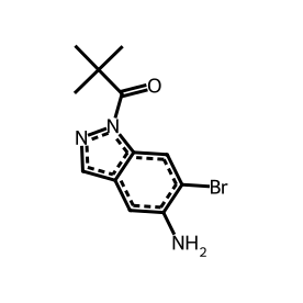 CC(C)(C)C(=O)n1ncc2cc(N)c(Br)cc21